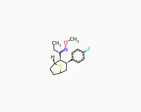 CCC(=NOC)[C@H]1[C@@H](c2ccc(F)cc2)CC2CC[C@H]1S2